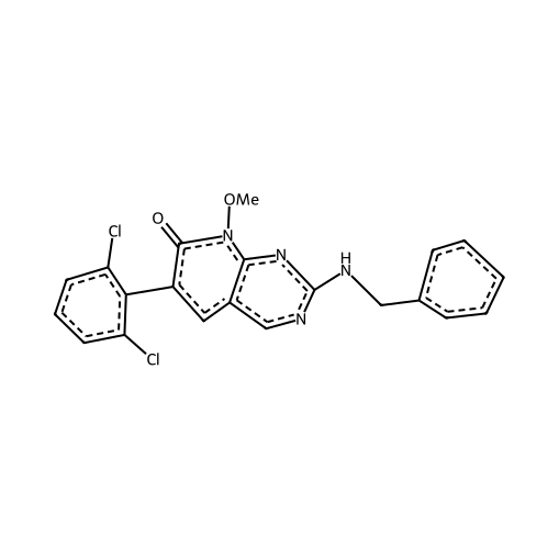 COn1c(=O)c(-c2c(Cl)cccc2Cl)cc2cnc(NCc3ccccc3)nc21